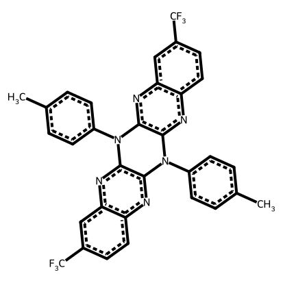 Cc1ccc(N2c3nc4ccc(C(F)(F)F)cc4nc3N(c3ccc(C)cc3)c3nc4cc(C(F)(F)F)ccc4nc32)cc1